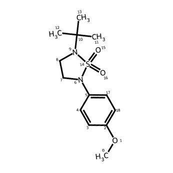 COc1ccc(N2CCN(C(C)(C)C)S2(=O)=O)cc1